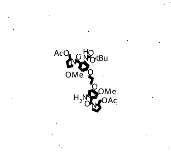 COc1cc(C(=O)N2CCCC2COC(C)=O)c(N)cc1OCCCOc1cc(NC(=O)OC(C)(C)C)c(C(=O)N2CCCC2COC(C)=O)cc1OC